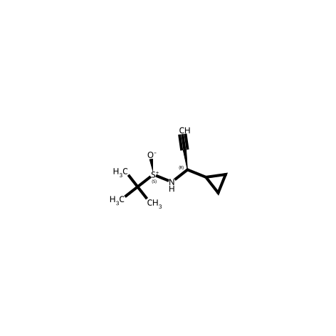 C#C[C@H](N[S@+]([O-])C(C)(C)C)C1CC1